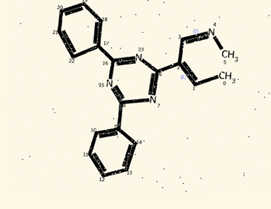 C/C=C(\C=N/C)c1nc(-c2ccccc2)nc(-c2ccccc2)n1